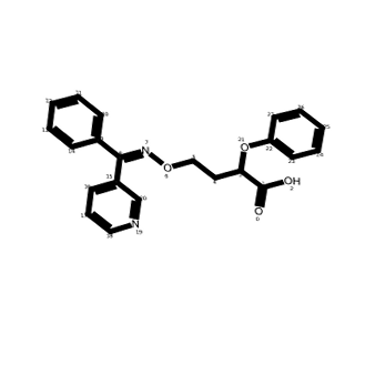 O=C(O)C(CCON=C(c1ccccc1)c1cccnc1)Oc1ccccc1